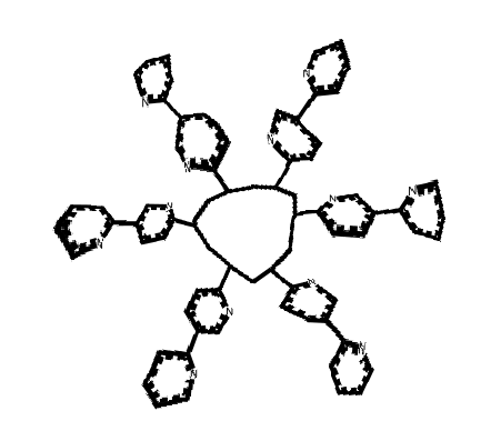 c1ccc(-c2ccc(C3CC(c4ccc(-c5ccccn5)cn4)CC(c4ccc(-c5ccccn5)cn4)CC(c4ccc(-c5ccccn5)cn4)CC(c4ccc(-c5ccccn5)cn4)CC(c4ccc(-c5ccccn5)cn4)C3)nc2)nc1